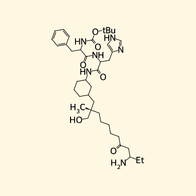 CCC(N)CC(=O)CCCCC[C@](C)(CO)CC1CCCC(NC(=O)C(Cc2c[nH]cn2)NC(=O)C(Cc2ccccc2)NC(=O)OC(C)(C)C)C1